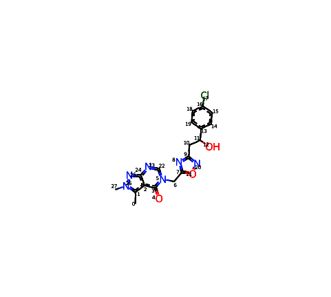 Cc1c2c(=O)n(Cc3nc(CC(O)c4ccc(Cl)cc4)no3)cnc2nn1C